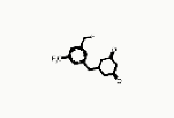 O=C1CC(=O)CC(Cc2cc(CF)cc(C(F)(F)F)c2)C1